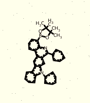 CC1(C)OB(c2cccc3c2nc(-c2ccccc2)c2cc4c(cc23)c2ccccc2n4-c2ccccc2)OC1(C)C